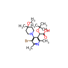 COC1(C)CCN(c2c(Br)c(C)nc(C)c2C(OC(C)(C)C)C(=O)O)CC1